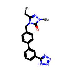 CCC(C)n1nc(CC(C)C)n(Cc2ccc(-c3cccc(-c4nnn[nH]4)c3)cc2)c1=O